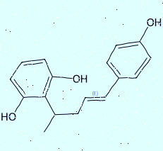 CC(C/C=C/c1ccc(O)cc1)c1c(O)cccc1O